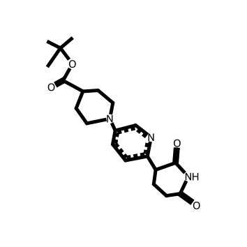 CC(C)(C)OC(=O)C1CCN(c2ccc(C3CCC(=O)NC3=O)nc2)CC1